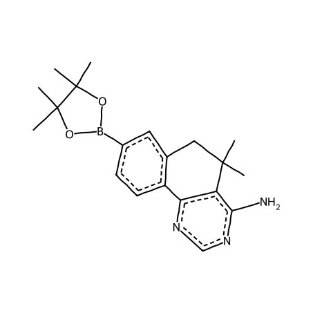 CC1(C)Cc2cc(B3OC(C)(C)C(C)(C)O3)ccc2-c2ncnc(N)c21